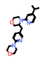 CC(C)c1ccnc(N2CCOCC2Cc2ccc(N3CCOCC3)nc2)c1